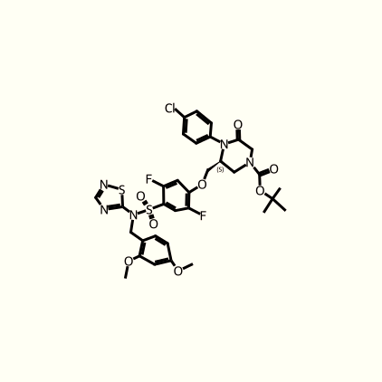 COc1ccc(CN(c2ncns2)S(=O)(=O)c2cc(F)c(OC[C@@H]3CN(C(=O)OC(C)(C)C)CC(=O)N3c3ccc(Cl)cc3)cc2F)c(OC)c1